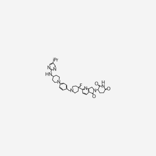 CC(C)c1cnc(NC2CCN(c3ccc(CN4CCC(F)(c5ccc6c(n5)CN(C5CCC(=O)NC5=O)C6=O)CC4)cc3)CC2)nc1